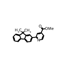 COC(=O)c1ccnc(-c2ccc3c(c2)C(C)(C)c2ccccc2-3)c1